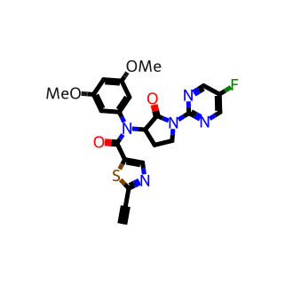 C#Cc1ncc(C(=O)N(c2cc(OC)cc(OC)c2)C2CCN(c3ncc(F)cn3)C2=O)s1